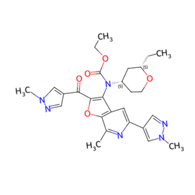 CCOC(=O)N(c1c(C(=O)c2cnn(C)c2)oc2c(C)nc(-c3cnn(C)c3)cc12)[C@H]1CCO[C@@H](CC)C1